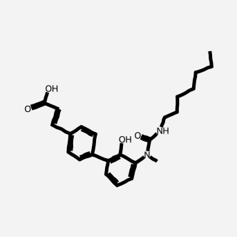 CCCCCCCNC(=O)N(C)c1cccc(-c2ccc(C=CC(=O)O)cc2)c1O